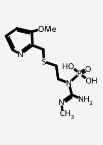 CN=C(N)N(CCSCc1ncccc1OC)P(=O)(O)O